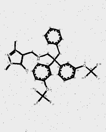 CC1=NN(C)C(Cl)C1CNCC(Cc1ccccc1)(c1cccc(OC(F)(F)F)c1)c1cccc(OC(F)(F)F)c1